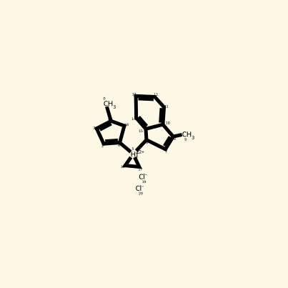 CC1=CC=[C]([Hf+2]2([CH]3C=C(C)c4ccccc43)[CH2][CH2]2)C1.[Cl-].[Cl-]